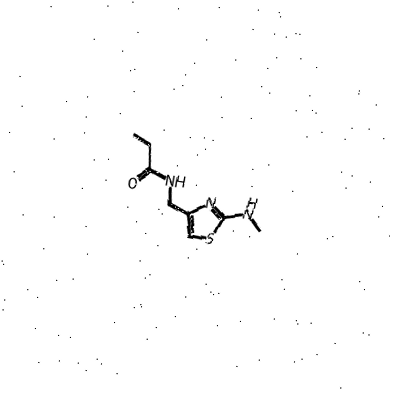 CCC(=O)NCc1csc(NC)n1